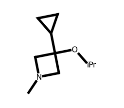 CC(C)OC1(C2CC2)CN(C)C1